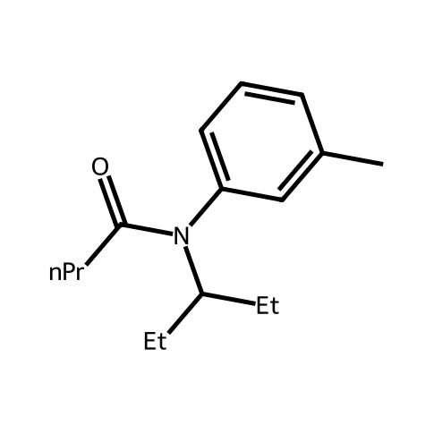 CCCC(=O)N(c1cccc(C)c1)C(CC)CC